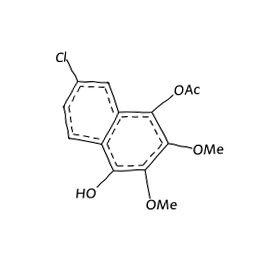 COc1c(OC)c(OC(C)=O)c2cc(Cl)ccc2c1O